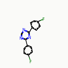 Fc1ccc(-c2ncnc(-c3ccc(F)cc3)n2)cc1